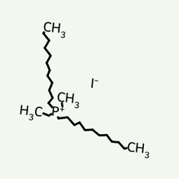 CCCCCCCCCCCC[P+](CC)(CC)CCCCCCCCCCCC.[I-]